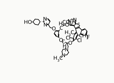 Cc1c(Cl)c2c(Cl)c(C)c1-c1c(-c3ccc(F)cc3)sc3ncnc(c13)O[C@@H](C(=O)O)Cc1cc(ccc1OCc1ccnc([C@H]3CC[C@H](O)CC3)n1)OC[C@@H](CN1CCN(C)CC1)O2